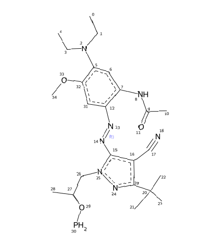 CCN(CC)c1cc(NC(C)=O)c(/N=N/c2c(C#N)c(C(C)(C)C)nn2CC(C)OP)cc1OC